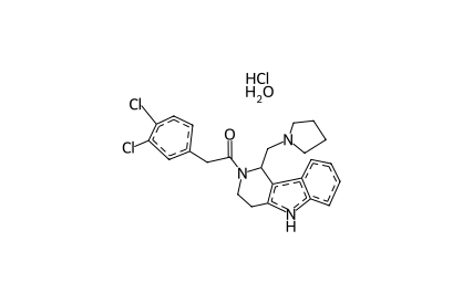 Cl.O.O=C(Cc1ccc(Cl)c(Cl)c1)N1CCc2[nH]c3ccccc3c2C1CN1CCCC1